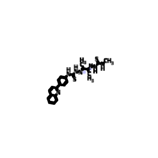 CNC(=S)N/N=C(C)/C(C)=N/NC(=S)Nc1ccc(-c2ccc3ccccc3n2)cc1